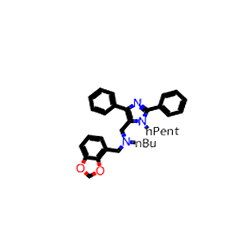 CCCCCn1c(-c2ccccc2)nc(-c2ccccc2)c1CN(CCCC)Cc1cccc2c1OCO2